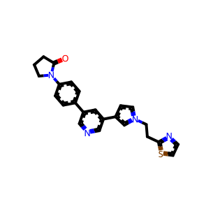 O=C1CCCN1c1ccc(-c2cncc(-c3ccn(CCc4nccs4)c3)c2)cc1